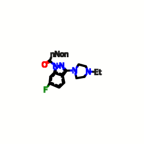 [CH2]CN1CCN(c2nn(C(=O)CCCCCCCCC)c3cc(F)ccc23)CC1